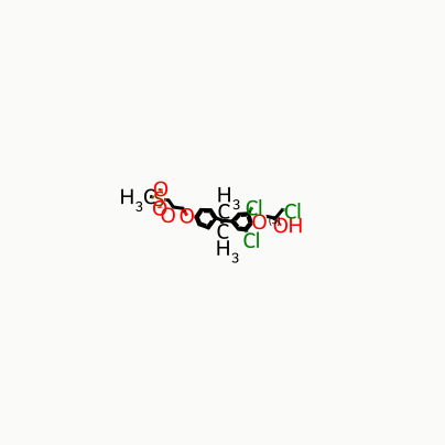 CC(C)(c1ccc(OCC(=O)CS(C)(=O)=O)cc1)c1cc(Cl)c(OC[C@H](O)CCl)c(Cl)c1